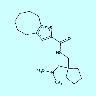 CN(C)CC1(CNC(=O)c2cc3c(s2)CCCCCC3)CCCC1